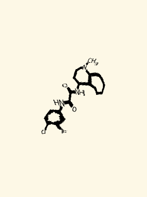 CN1CCC(NC(=O)C(=O)Nc2ccc(Cl)c(F)c2)C2CCCCC21